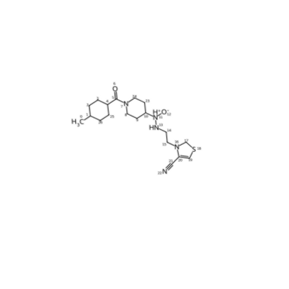 CC1CCC(C(=O)N2CCC([NH+]([O-])NCCN3CSC=C3C#N)CC2)CC1